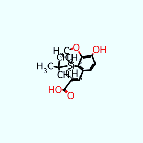 COc1c(O)ccc(C=CC(=O)O)c1[Si](C)(C)C(C)(C)C